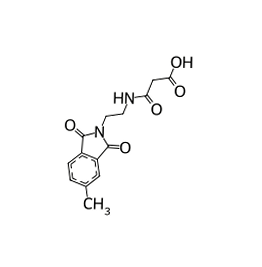 Cc1ccc2c(c1)C(=O)N(CCNC(=O)CC(=O)O)C2=O